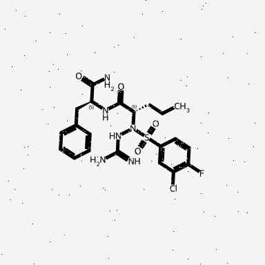 CCC[C@@H](C(=O)N[C@@H](Cc1ccccc1)C(N)=O)N(NC(=N)N)S(=O)(=O)c1ccc(F)c(Cl)c1